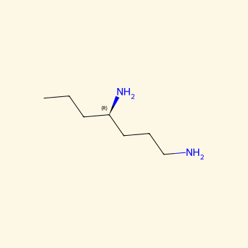 CCC[C@@H](N)CCCN